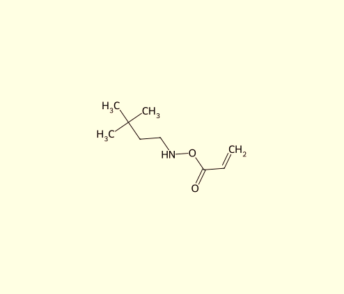 C=CC(=O)ONCCC(C)(C)C